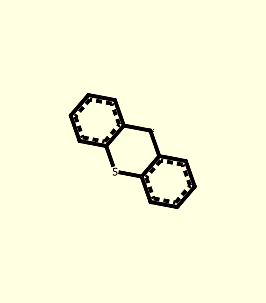 [C]1c2ccccc2Sc2ccccc21